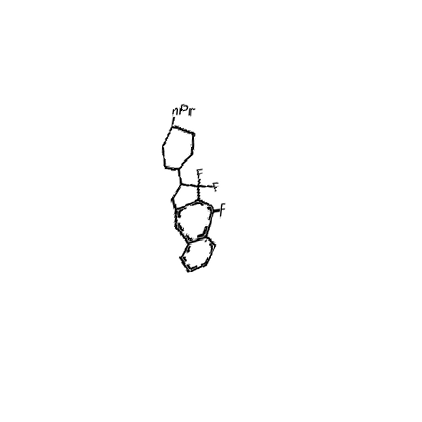 CCCC1CCC(C2Cc3cc4ccccc4c(F)c3C2(F)F)CC1